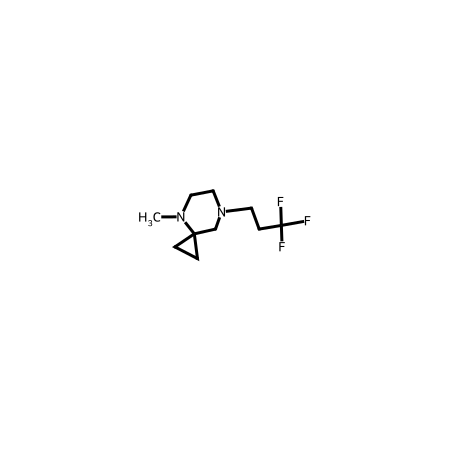 CN1CCN(CCC(F)(F)F)CC12CC2